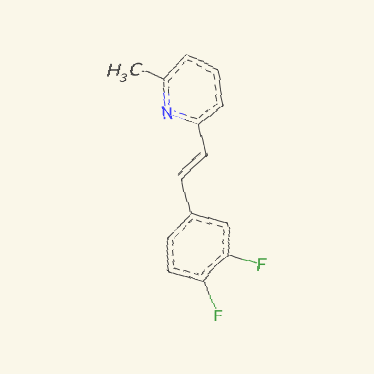 Cc1cccc(C=Cc2ccc(F)c(F)c2)n1